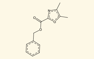 Cc1nc(C(=O)OCc2ccccc2)oc1C